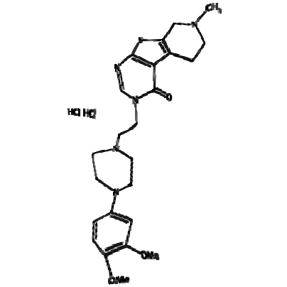 COc1ccc(N2CCN(CCn3cnc4sc5c(c4c3=O)CCN(C)C5)CC2)cc1OC.Cl.Cl